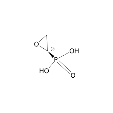 O=P(O)(O)[C@@H]1CO1